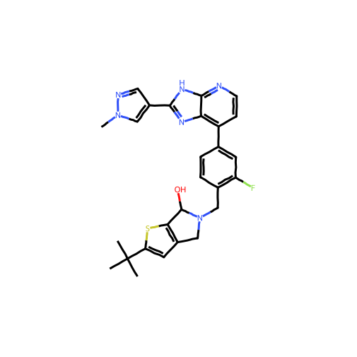 Cn1cc(-c2nc3c(-c4ccc(CN5Cc6cc(C(C)(C)C)sc6C5O)c(F)c4)ccnc3[nH]2)cn1